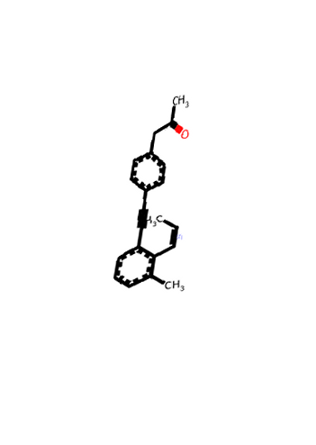 C/C=C\c1c(C)cccc1C#Cc1ccc(CC(C)=O)cc1